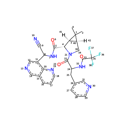 CC1(C)[C@@H]2[C@@H](C(=O)NC(C#N)c3cncc4cccnc34)N(C(=O)C(Cc3cccnc3)NC(=O)C(F)(F)F)C[C@@H]21